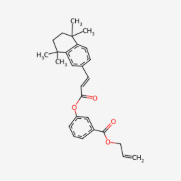 C=CCOC(=O)c1cccc(OC(=O)C=Cc2ccc3c(c2)C(C)(C)CCC3(C)C)c1